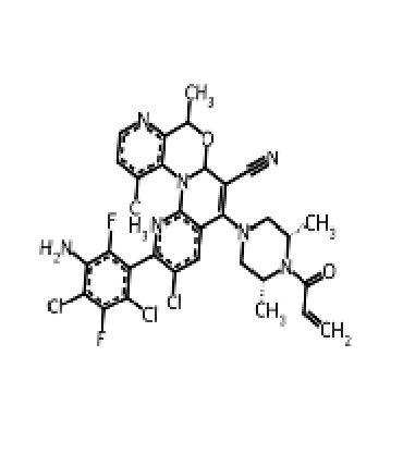 C=CC(=O)N1[C@H](C)CN(C2=C(C#N)C3OC(C)c4nccc(C)c4N3c3nc(-c4c(F)c(N)c(Cl)c(F)c4Cl)c(Cl)cc32)C[C@@H]1C